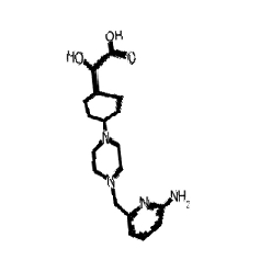 Nc1cccc(CN2CCN(C3CCC(C(O)C(=O)O)CC3)CC2)n1